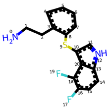 NCCc1ccccc1Sc1c[nH]c2ccc(F)c(F)c12